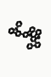 c1ccc(-c2ccccc2-c2ccc(-n3c4ccccc4c4cc(-c5ccc6c7ccccc7n(-c7ccccc7)c6c5)ccc43)c3c2oc2ccccc23)cc1